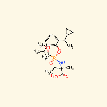 CCC(C)(NP(=O)(COC)Oc1c(C(C)C)cccc1[C@H](C)C1CC1)C(=O)O